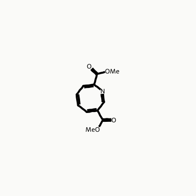 COC(=O)C1=CC=CC=C(C(=O)OC)N=C1